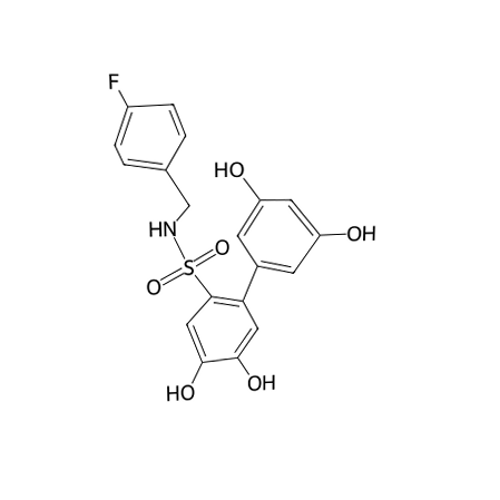 O=S(=O)(NCc1ccc(F)cc1)c1cc(O)c(O)cc1-c1cc(O)cc(O)c1